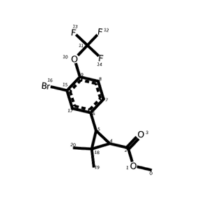 COC(=O)C1C(c2ccc(OC(F)(F)F)c(Br)c2)C1(C)C